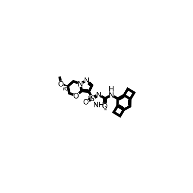 CO[C@@H]1COc2c([S@](N)(=O)=NC(=O)Nc3c4c(cc5c3CC5)CC4)cnn2C1